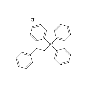 [Cl-].c1ccc(CC[P+](c2ccccc2)(c2ccccc2)c2ccccc2)cc1